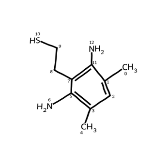 Cc1cc(C)c(N)c(CCS)c1N